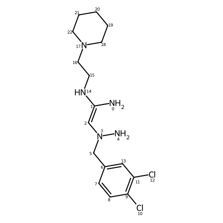 N/C(=C\N(N)Cc1ccc(Cl)c(Cl)c1)NCCN1CCCCC1